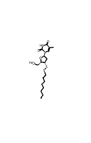 CCCCCCCCSS[C@H]1C[C@H](n2cc(C)c(=O)[nH]c2=O)O[C@@H]1CO